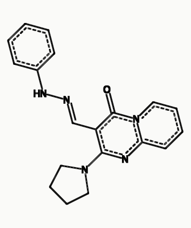 O=c1c(C=NNc2ccccc2)c(N2CCCC2)nc2ccccn12